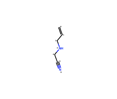 C=CCNCC#N